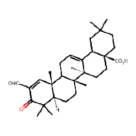 CC1(C)CC[C@]2(C(=O)O)CC[C@]3(C)C(=CCC4[C@@]5(C)C=C(C=O)C(=O)C(C)(C)[C@@H]5CC[C@]43C)C2C1